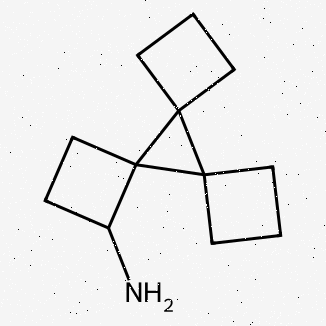 NC1CCC12C1(CCC1)C21CCC1